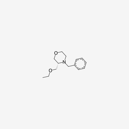 CCOC[C@@H]1COCCN1Cc1ccccc1